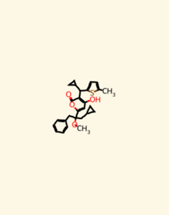 COC(Cc1ccccc1)(CC1CC1)c1cc(O)c(C(c2ccc(C)s2)C2CC2)c(=O)o1